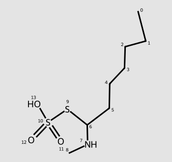 CCCCCCC(NC)SS(=O)(=O)O